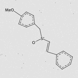 COc1ccc(C[S+]([O-])/C=C/c2ccccc2)cc1